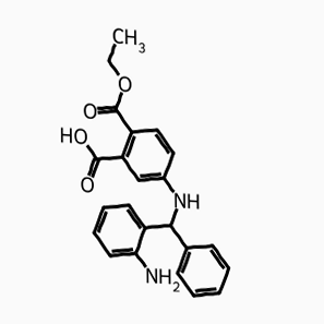 CCOC(=O)c1ccc(NC(c2ccccc2)c2ccccc2N)cc1C(=O)O